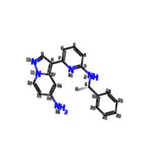 C[C@H](Nc1cccc(-c2cnn3ccc(N)cc23)n1)c1ccccc1